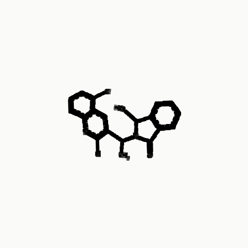 CC(c1cc2c(Cl)cccc2nc1Cl)N1C(=O)c2ccccc2C1O